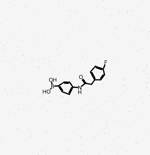 O=C(Cc1ccc(F)cc1)Nc1ccc(B(O)O)cc1